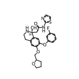 C[C@]1(CC(=O)Nc2nccs2)NCCc2cc(OCC3CCCO3)c(Oc3cccc(F)c3)cc21